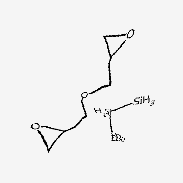 C(OCC1CO1)C1CO1.CC(C)(C)[SiH2][SiH3]